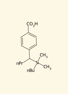 CCCC[Si](C)(C)C(CCC)c1ccc(C(=O)O)cc1